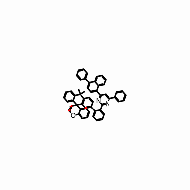 CC1(C)c2ccccc2C2(c3ccccc3Oc3ccccc32)c2cc(-c3ccccc3-c3nc(-c4ccccc4)cc(-c4ccc(-c5ccccc5)c5ccccc45)n3)ccc21